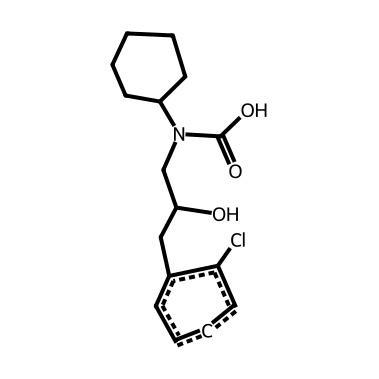 O=C(O)N(CC(O)Cc1ccccc1Cl)C1CCCCC1